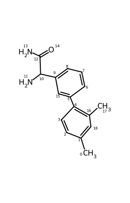 Cc1ccc(-c2cccc(C(N)C(N)=O)c2)c(C)c1